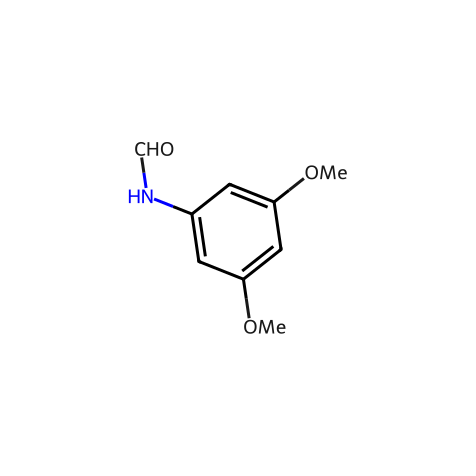 COc1cc(NC=O)cc(OC)c1